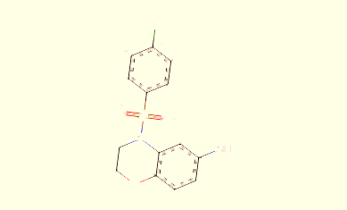 Nc1ccc2c(c1)N(S(=O)(=O)c1ccc(F)cc1)CCO2